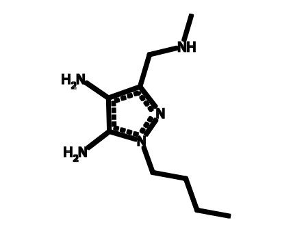 CCCCn1nc(CNC)c(N)c1N